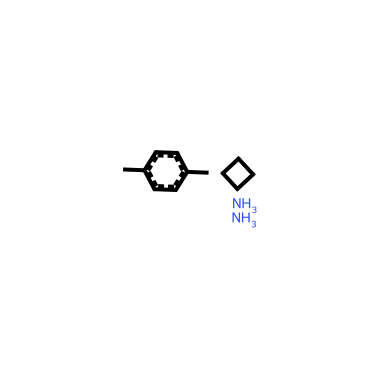 C1CCC1.Cc1ccc(C)cc1.N.N